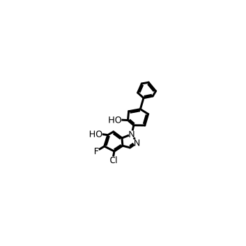 Oc1cc(-c2ccccc2)ccc1-n1ncc2c(Cl)c(F)c(O)cc21